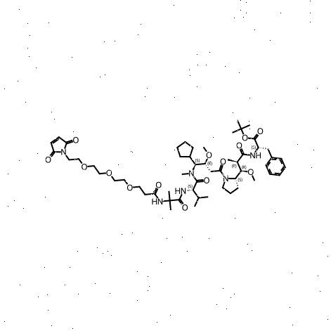 CO[C@H]([C@@H](C)C(=O)N[C@@H](Cc1ccccc1)C(=O)OC(C)(C)C)[C@@H]1CCCN1C(=O)C[C@@H](OC)[C@H](C1CCCC1)N(C)C(=O)[C@@H](NC(=O)C(C)(C)NC(=O)CCOCCOCCOCCN1C(=O)C=CC1=O)C(C)C